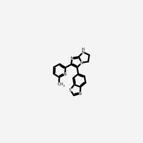 Cc1cccc(-c2nc3n(c2-c2ccc4ncsc4c2)CCN3)n1